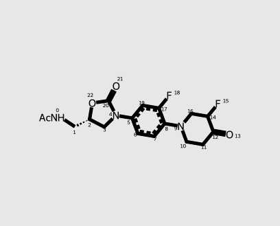 CC(=O)NC[C@H]1CN(c2ccc(N3CCC(=O)C(F)C3)c(F)c2)C(=O)O1